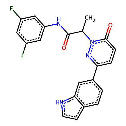 CC(C(=O)Nc1cc(F)cc(F)c1)n1nc(-c2ccc3cc[nH]c3c2)ccc1=O